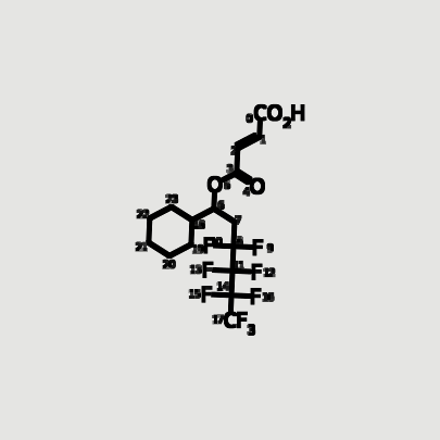 O=C(O)C=CC(=O)OC(CC(F)(F)C(F)(F)C(F)(F)C(F)(F)F)C1CCCCC1